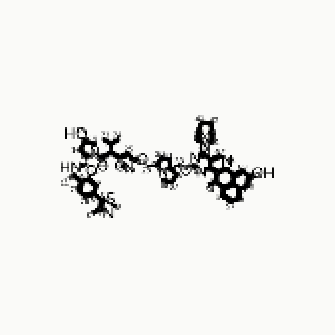 Cc1ncsc1-c1ccc([C@H](C)NC(=O)[C@@H]2C[C@@H](O)CN2C(=O)[C@H](c2cc(OC[C@H]3CC[C@]4(COc5nc(N6CC7CCC(C6)N7)c6cnc7c(c6n5)C(C)c5cccc6cc(O)cc-7c56)CCCN34)no2)C(C)C)cc1